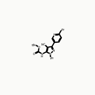 CC(C)c1ccc(-c2nn(C(C)C)c(NC(=O)OC(C)(C)C)c2C#N)cn1